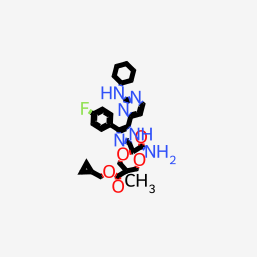 CC1(C(=O)OCC2CC2)COC(C(N)=O)(c2nc(-c3ccc(F)cc3)c(-c3ccnc(NC4CCCCC4)n3)[nH]2)OC1